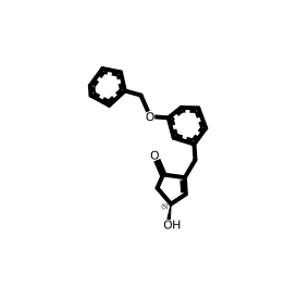 O=C1C[C@H](O)C=C1Cc1cccc(OCc2ccccc2)c1